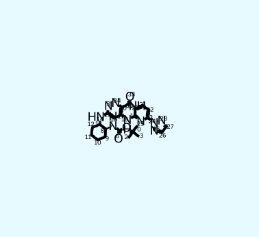 CC(C)(C)OC(=O)N[C@H]1CCCC[C@H]1Nc1cc(Nc2cccc(-n3nccn3)n2)c(C(N)=O)nn1